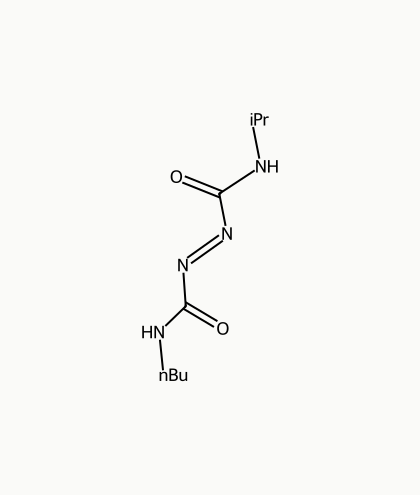 CCCCNC(=O)N=NC(=O)NC(C)C